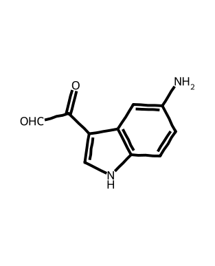 Nc1ccc2[nH]cc(C(=O)C=O)c2c1